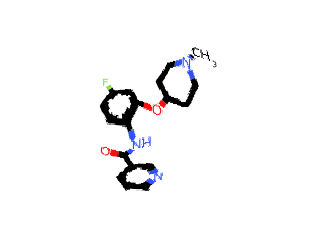 CN1CCC(Oc2cc(F)ccc2NC(=O)c2cccnc2)CC1